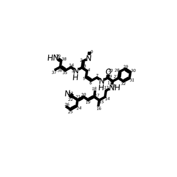 C=N/C=C(\C/C=C\CNC(=O)C(NCCC(C)/C(C)=C/C=C(C#N)\C=C/C)c1ccccc1)NCC=C(C)C=N